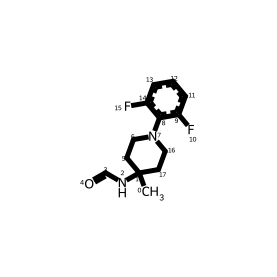 CC1(NC=O)CCN(c2c(F)cccc2F)CC1